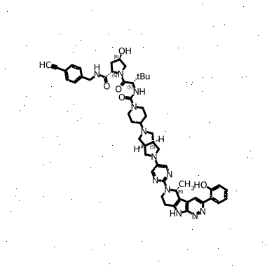 C#Cc1ccc(CNC(=O)[C@@H]2C[C@@H](O)CN2C(=O)[C@@H](NC(=O)N2CCC(N3C[C@H]4CN(c5cnc(N6CCc7[nH]c8nnc(-c9ccccc9O)cc8c7[C@H]6C)nc5)C[C@H]4C3)CC2)C(C)(C)C)cc1